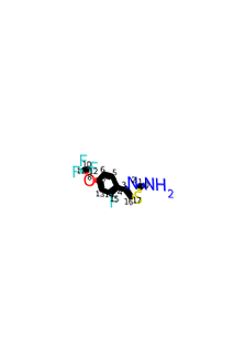 Nc1nc(-c2ccc(OC(F)(F)F)cc2F)cs1